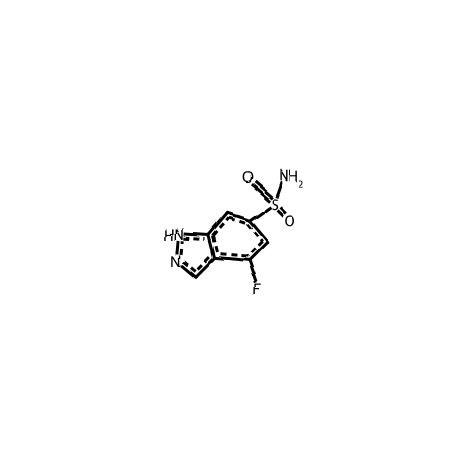 NS(=O)(=O)c1cc(F)c2cn[nH]c2c1